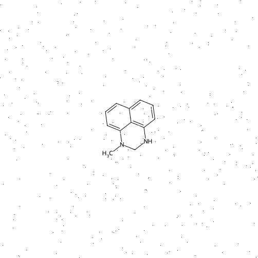 CN1CNc2cccc3cccc1c23